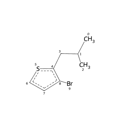 CC(C)Cc1sccc1Br